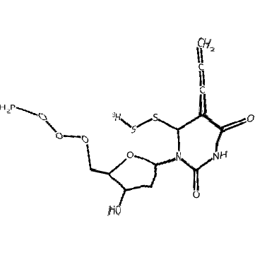 [3H]SSC1C(=C=C=C)C(=O)NC(=O)N1C1CC(O)C(COOOP)O1